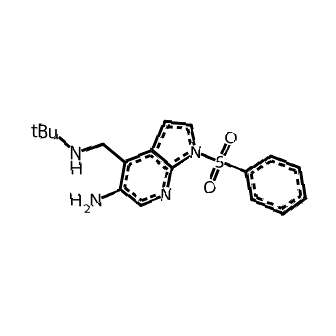 CC(C)(C)NCc1c(N)cnc2c1ccn2S(=O)(=O)c1ccccc1